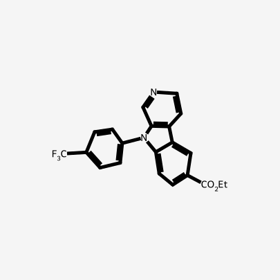 CCOC(=O)c1ccc2c(c1)c1ccncc1n2-c1ccc(C(F)(F)F)cc1